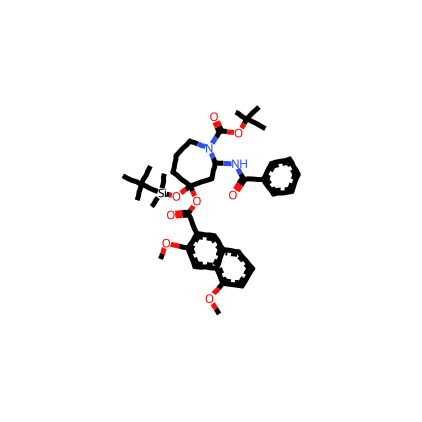 COc1cc2c(OC)cccc2cc1C(=O)OC1(O[Si](C)(C)C(C)(C)C)CCCN(C(=O)OC(C)(C)C)C(NC(=O)c2ccccc2)C1